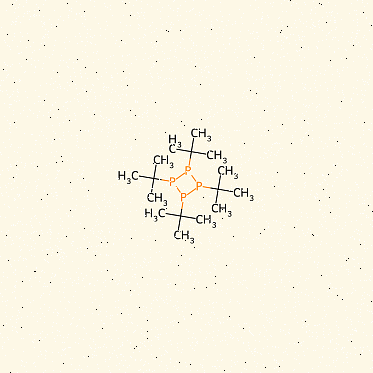 CC(C)(C)P1P(C(C)(C)C)P(C(C)(C)C)P1C(C)(C)C